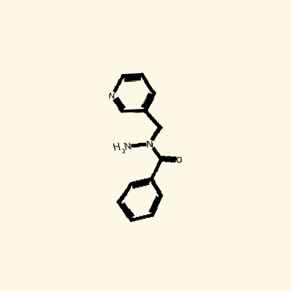 NN(Cc1cccnc1)C(=O)c1ccccc1